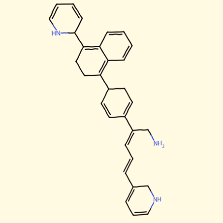 NC/C(=C\C=C\C1=CC=CNC1)C1=CCC(C2=c3ccccc3=C(C3C=CC=CN3)CC2)C=C1